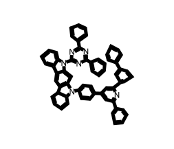 C1=CC2c3cc4c5ccccc5n(-c5nc(-c6ccccc6)nc(-c6ccccc6)n5)c4cc3N(c3ccc(-c4cc(-c5ccccc5)nc(-c5cccc(-c6ccccc6)c5)c4)cc3)C2C=C1